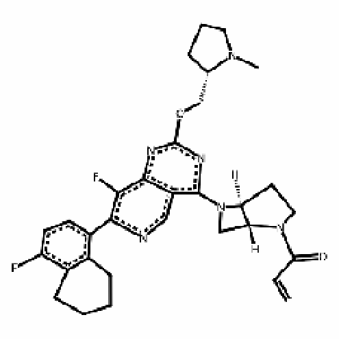 C=CC(=O)N1CC[C@H]2[C@H]1CN2c1nc(OC[C@@H]2CCCN2C)nc2c(F)c(-c3ccc(F)c4c3CCCC4)ncc12